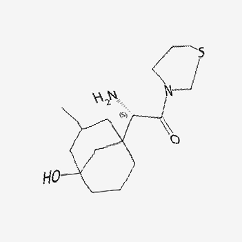 CC1CC2(O)CCCC([C@H](N)C(=O)N3CCSC3)(C1)C2